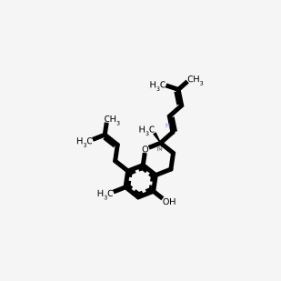 CC(C)=C/C=C/[C@]1(C)CCc2c(O)cc(C)c(CC=C(C)C)c2O1